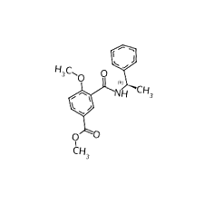 COC(=O)c1ccc(OC)c(C(=O)N[C@H](C)c2ccccc2)c1